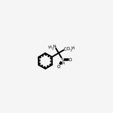 NC(C(=O)O)(c1ccccc1)[SH](=O)=O